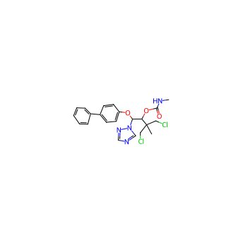 CNC(=O)OC(C(Oc1ccc(-c2ccccc2)cc1)n1cncn1)C(C)(CCl)CCl